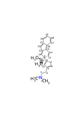 CN(C)CCC1=CCC(C2([SiH](C)C)C=CC3=c4ccccc4=CC3=C2)=C1